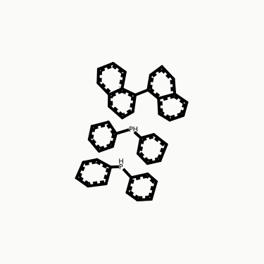 c1ccc(Pc2ccccc2)cc1.c1ccc(Pc2ccccc2)cc1.c1ccc2c(-c3cccc4ccccc34)cccc2c1